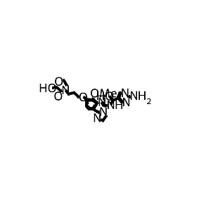 COc1c(OCCCN2CCOC(O)C2=O)ccc2c1N=C(NC(O)c1cnc(N)nc1)N1CCN=C21